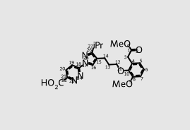 COC(=O)Cc1cccc(OC)c1OCCCc1cn(-c2ccc(C(=O)O)nn2)nc1C(C)C